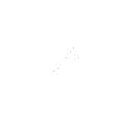 CCOC(=O)CCN(C(=O)c1ccc2c(c1)nc(CNc1ccc(/C(N)=N/C(=O)OCCC(F)(F)F)cc1)n2C)c1ccccn1